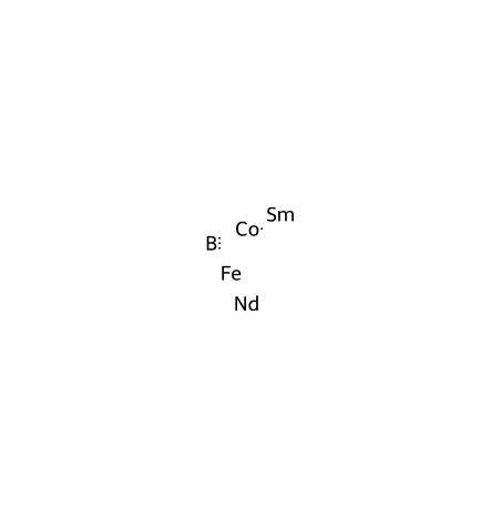 [B].[Co].[Fe].[Nd].[Sm]